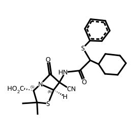 CC1(C)S[C@H]2N(C(=O)C2(C#N)NC(=O)C(Sc2ccccc2)C2CCCCC2)[C@H]1C(=O)O